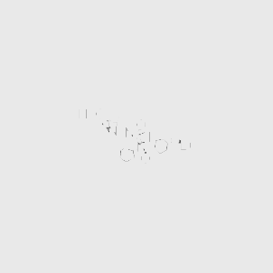 CCOc1ccc(C(=O)N2CC(=O)N(Cc3nnc(C)o3)Cc3ccccc32)c(Cl)c1